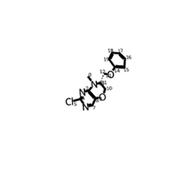 CN1c2nc(Cl)ncc2OC[C@H]1COc1ccccc1